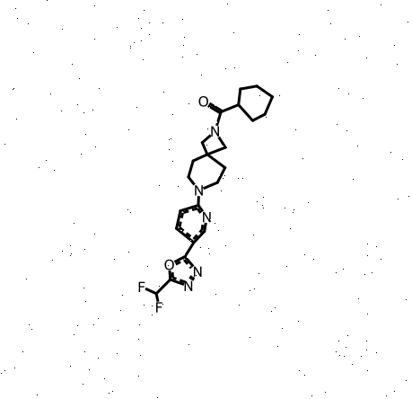 O=C(C1CCCCC1)N1CC2(CCN(c3ccc(-c4nnc(C(F)F)o4)cn3)CC2)C1